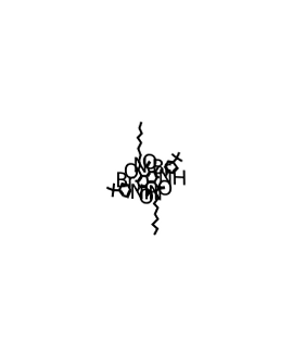 CCCCCCCCN1C(=O)c2c(Br)c(Nc3ccc(C(C)(C)C)cc3)c3c4c(c(Nc5ccc(C(C)(C)C)cc5)c(Br)c(c24)C1=O)C(=O)N(CCCCCCCC)C3=O